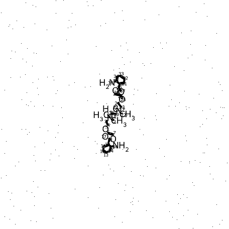 C[N+](C)(CCOC1=COC(c2ccccc2N)O1)CC[N+](C)(C)CCOC1=COC(c2ccccc2N)O1